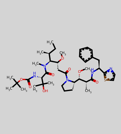 CC[C@H](C)[C@@H]([C@@H](CC(=O)N1CCC[C@H]1[C@H](OC)[C@@H](C)C(=O)N[C@@H](Cc1ccccc1)c1nccs1)OC)N(C)C(=O)[C@@H](NC(=O)OC(C)(C)C)C(C)(C)O